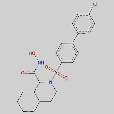 O=C(NO)C1C2CCCCC2CCN1S(=O)(=O)c1ccc(-c2ccc(Cl)cc2)cc1